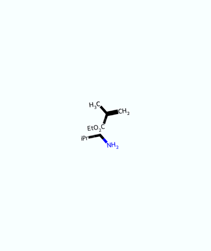 C=C(C)C(=O)OCC.CC(C)CN